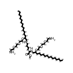 CCCCCCCCCCCCCCC(CNCCCC[C@H](NCC(CCCCCCCCCCCCCC)OCCOCCOCCN)C(=O)OC)OCCOCCOCCN